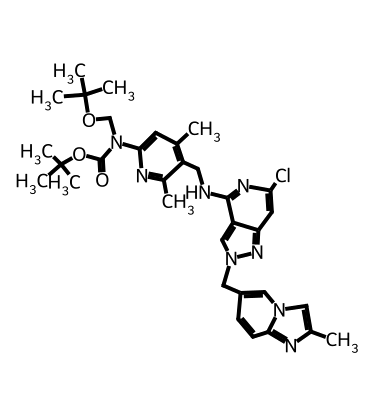 Cc1cn2cc(Cn3cc4c(NCc5c(C)cc(N(COC(C)(C)C)C(=O)OC(C)(C)C)nc5C)nc(Cl)cc4n3)ccc2n1